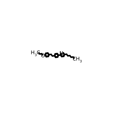 CCCCCCc1ccc(-c2ccc(CCc3ccc(OCCC)cc3)cc2)nc1